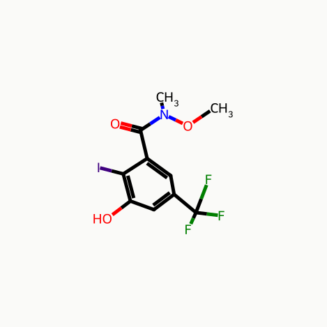 CON(C)C(=O)c1cc(C(F)(F)F)cc(O)c1I